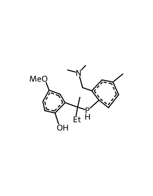 CCC(C)(Pc1ccc(C)cc1CN(C)C)c1cc(OC)ccc1O